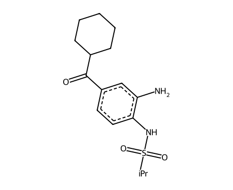 CC(C)S(=O)(=O)Nc1ccc(C(=O)C2CCCCC2)cc1N